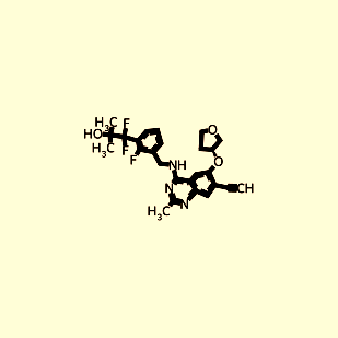 C#Cc1cc2nc(C)nc(NCc3cccc(C(F)(F)C(C)(C)O)c3F)c2cc1O[C@H]1CCOC1